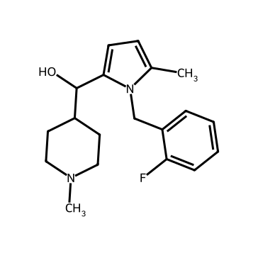 Cc1ccc(C(O)C2CCN(C)CC2)n1Cc1ccccc1F